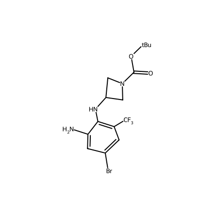 CC(C)(C)OC(=O)N1CC(Nc2c(N)cc(Br)cc2C(F)(F)F)C1